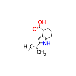 C=C(C)c1cc2c([nH]1)CCCC2C(=O)O